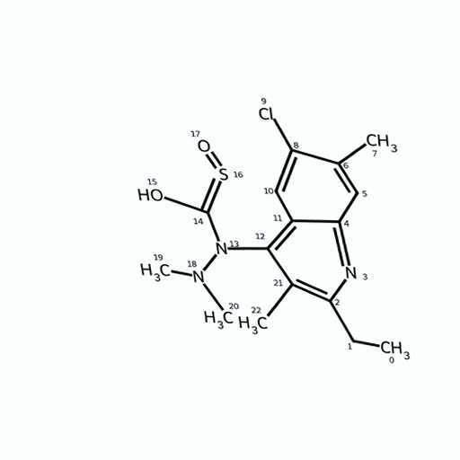 CCc1nc2cc(C)c(Cl)cc2c(N(C(O)=S=O)N(C)C)c1C